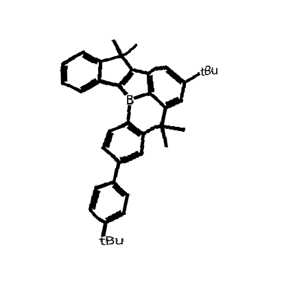 CC(C)(C)c1ccc(-c2ccc3c(c2)C(C)(C)c2cc(C(C)(C)C)cc4c2B3C2=C4C(C)(C)c3ccccc32)cc1